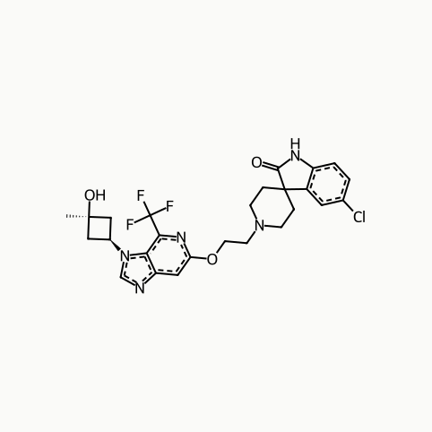 C[C@]1(O)C[C@@H](n2cnc3cc(OCCN4CCC5(CC4)C(=O)Nc4ccc(Cl)cc45)nc(C(F)(F)F)c32)C1